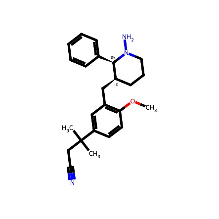 COc1ccc(C(C)(C)CC#N)cc1C[C@@H]1CCCN(N)[C@@H]1c1ccccc1